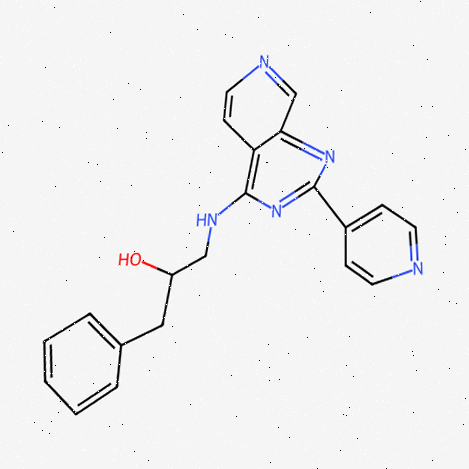 OC(CNc1nc(-c2ccncc2)nc2cnccc12)Cc1ccccc1